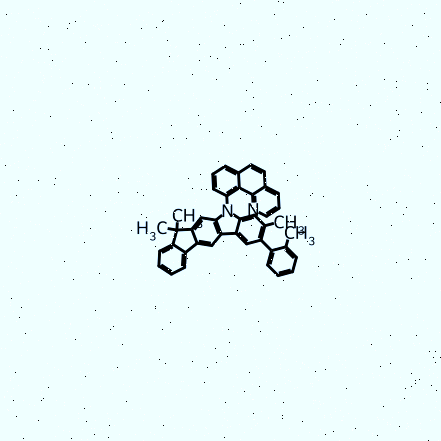 Cc1ccccc1-c1cc2c3cc4c(cc3n(-c3cccc5ccc6cccnc6c35)c2cc1C)C(C)(C)c1ccccc1-4